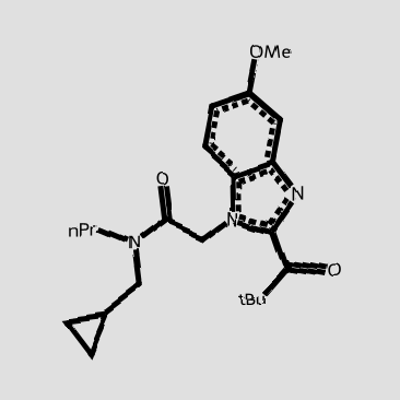 CCCN(CC1CC1)C(=O)Cn1c(C(=O)C(C)(C)C)nc2cc(OC)ccc21